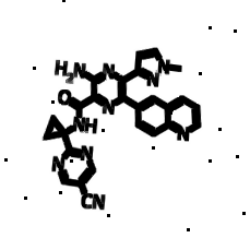 Cn1ccc(-c2nc(N)c(C(=O)NC3(c4ncc(C#N)cn4)CC3)nc2-c2ccc3ncccc3c2)n1